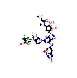 CCC(=O)NC1C[C@@H](n2cnc3c(N[C@H](CO)Cc4c[nH]cn4)nc(N4CC[C@@H](N(C)C)C4)nc32)[C@H](O)[C@@H]1O.O=C(O)C(F)(F)F